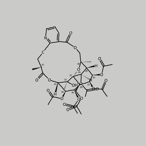 CC(=O)OC[C@]12[C@H](OC(C)=O)[C@H](OC(C)=O)[C@@H]3[C@@H](OC(C)=O)[C@@]14O[C@@]3(C)COC(=O)c1cccnc1CC[C@H](C)C(=O)O[C@@H]([C@H](OC(C)=O)[C@@H]2OC(C)=O)[C@]4(C)O